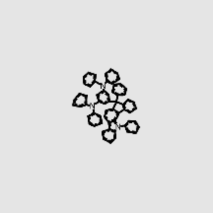 c1ccc(N(c2ccccc2)c2cc(N(c3ccccc3)c3ccccc3)cc(C3(c4ccccc4)c4ccccc4-c4c3ccc3c5ccccc5n(-c5ccccc5)c43)c2)cc1